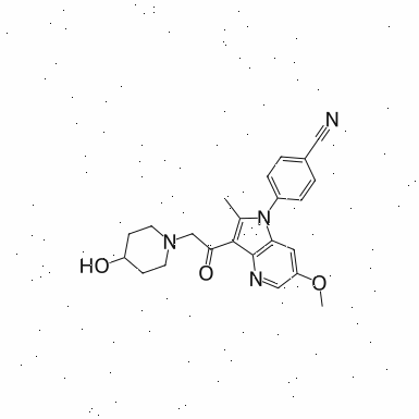 COc1cnc2c(C(=O)CN3CCC(O)CC3)c(C)n(-c3ccc(C#N)cc3)c2c1